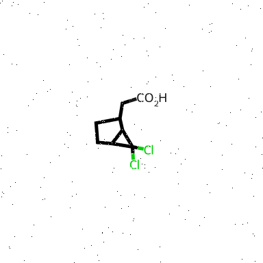 O=C(O)CC1CCC2C1C2(Cl)Cl